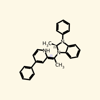 C/C(=C1\C=C(c2ccccc2)C=CN1)N1c2ccccc2N(c2ccccc2)[C@@H]1C